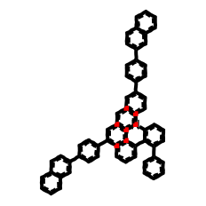 c1ccc(-c2ccccc2-c2c(-c3ccccc3)cccc2N(c2ccc(-c3ccc(-c4ccc5ccccc5c4)cc3)cc2)c2ccc(-c3ccc(-c4ccc5ccccc5c4)cc3)cc2)cc1